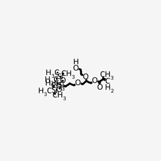 C=C(C)C(=O)OCC(COCCC[Si](C)(O[Si](C)(C)C)O[Si](C)(C)C)OCCO